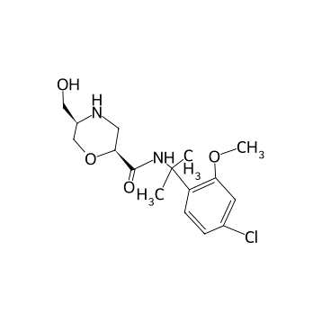 COc1cc(Cl)ccc1C(C)(C)NC(=O)[C@@H]1CN[C@H](CO)CO1